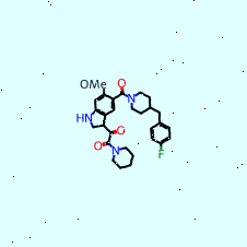 COc1cc2c(cc1C(=O)N1CCC(Cc3ccc(F)cc3)CC1)C(C(=O)C(=O)N1CCCCC1)CN2